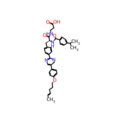 C/C=C/CCCOc1ccc(-c2cnc(-c3ccc(C[C@H](NC(=O)c4ccc(C(C)C)cc4)C(=O)NCCC(=O)O)cc3)nc2)cc1